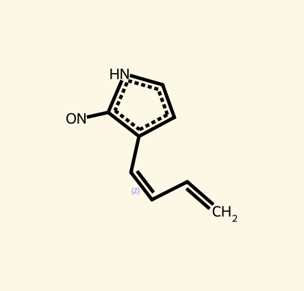 C=C/C=C\c1cc[nH]c1N=O